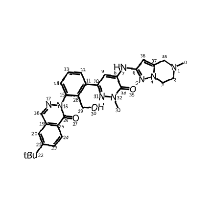 CN1CCn2nc(Nc3cc(-c4cccc(-n5ncc6cc(C(C)(C)C)ccc6c5=O)c4CO)nn(C)c3=O)cc2C1